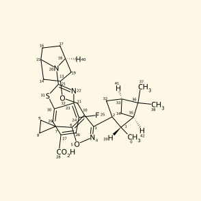 C[C@@H]1C(c2noc(C3CC3)c2COC2CC3CC[C@@H](C2)N3c2nc3c(F)cc(C(=O)O)cc3s2)C[C@@H]2C[C@H]1C2(C)C